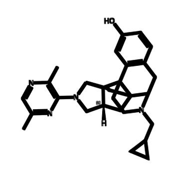 Cc1cnc(C)c(N2C[C@H]3CC45CCC2C3C42CCN(CC3CC3)C5Cc3ccc(O)cc32)n1